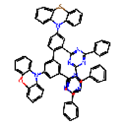 c1ccc(-c2nc(-c3ccccc3)nc(-c3cc(-c4ccc(N5c6ccccc6Sc6ccccc65)cc4-c4nc(-c5ccccc5)nc(-c5ccccc5)n4)cc(N4c5ccccc5Oc5ccccc54)c3)n2)cc1